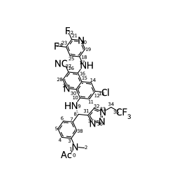 CC(=O)N(C)c1cccc([C@H](Nc2cc(Cl)cc3c(Nc4cnc(F)c(F)c4)c(C#N)cnc23)c2cn(CC(F)(F)F)nn2)c1